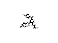 N#Cc1cnc(Nc2cc(NCC3CCNCC3)c(CCCO)cn2)cn1